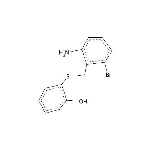 Nc1cccc(Br)c1CSc1ccccc1O